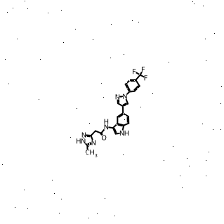 Cc1nc(CC(=O)Nc2c[nH]c3ccc(-c4cnn(-c5ccc(C(F)(F)F)cc5)c4)cc23)n[nH]1